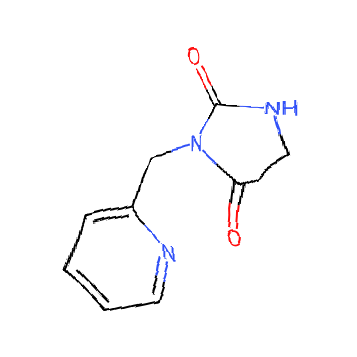 O=C1CNC(=O)N1Cc1ccccn1